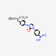 COC(Cc1ccc(-n2ccn(-c3ccc(C(=N)N)cc3)c2=O)cc1)C(=O)O